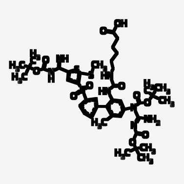 CSc1sc(C(=N)NC(=O)OC(C)(C)C)cc1S(=O)(=O)c1cccc(-c2c(C)cc(N(C(=O)OC(C)(C)C)C(N)=NC(=O)OC(C)(C)C)cc2NC(=O)NCCCCCC(=O)O)c1